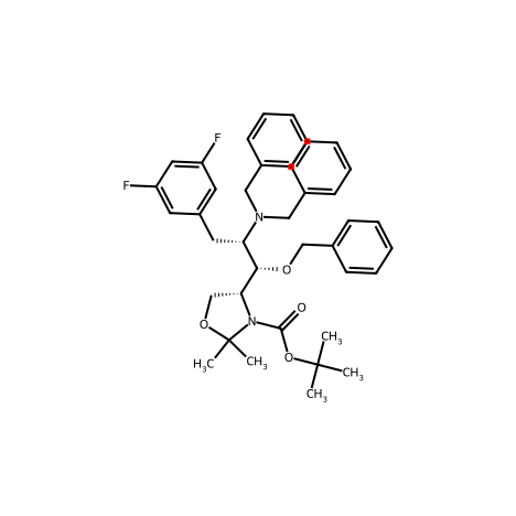 CC(C)(C)OC(=O)N1[C@@H]([C@@H](OCc2ccccc2)[C@H](Cc2cc(F)cc(F)c2)N(Cc2ccccc2)Cc2ccccc2)COC1(C)C